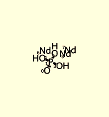 O=P(O)(O)O.[Nd].[Nd].[Nd]